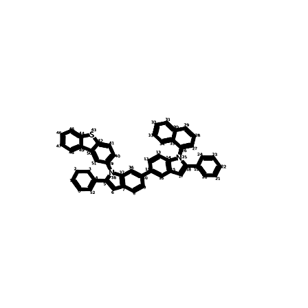 C1=CCCC(c2cc3ccc(-c4ccc5c(c4)cc(-c4ccccc4)n5-c4cccc5ccccc45)cc3n2-c2ccc3sc4ccccc4c3c2)=C1